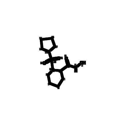 O=C(NO)C1CCCCN1S(=O)(=O)N1CCCC1